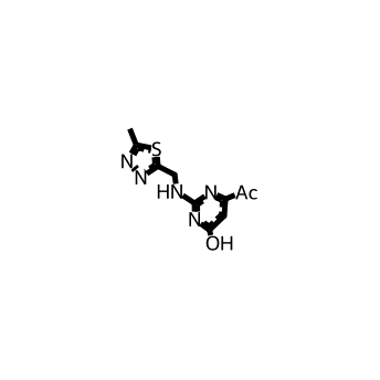 CC(=O)c1cc(O)nc(NCc2nnc(C)s2)n1